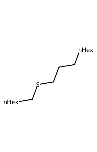 [CH2]CCCCCCCCSCCCCCCC